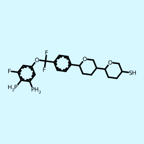 Fc1cc(OC(F)(F)c2ccc(C3CCC(C4CCC(S)CO4)CO3)cc2)cc(P)c1P